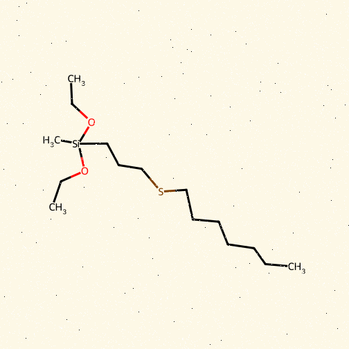 CCCCCCCSCCC[Si](C)(OCC)OCC